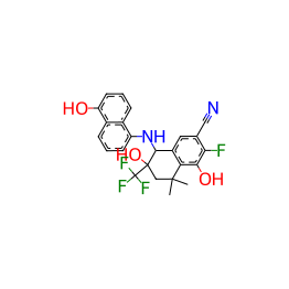 CC1(C)CC(O)(C(F)(F)F)C(Nc2cccc3c(O)cccc23)c2cc(C#N)c(F)c(O)c21